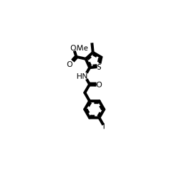 COC(=O)c1c(C)csc1NC(=O)Cc1ccc(I)cc1